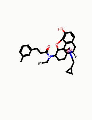 Cc1cccc(CCC(=O)N(CC(C)C)C2CC[C@@]3(O)[C@H]4Cc5ccc(O)c6c5[C@@]3(CCN4CC3CC3)C2O6)c1